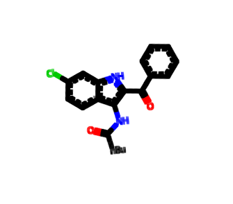 CCCCC(=O)Nc1c(C(=O)c2ccccc2)[nH]c2cc(Cl)ccc12